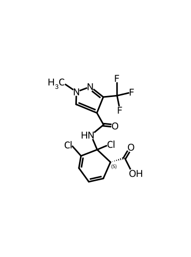 Cn1cc(C(=O)NC2(Cl)C(Cl)=CC=C[C@H]2C(=O)O)c(C(F)(F)F)n1